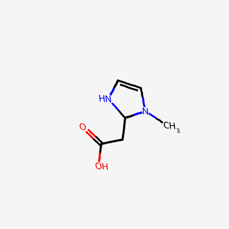 CN1C=CN[C]1CC(=O)O